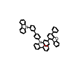 c1ccc(-c2ccccc2N(c2ccc(-c3cccc(-n4c5ccccc5c5ccccc54)c3)cc2)c2cccc(-c3ccc(-c4ccccc4)c4oc5ccccc5c34)c2)cc1